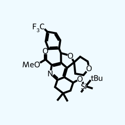 COC(=O)c1nc2c(c3c1C(c1ccc(C(F)(F)F)cc1)OC31CCOCC1)C(O[Si](C)(C)C(C)(C)C)CC(C)(C)C2